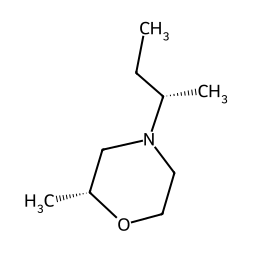 CC[C@H](C)N1CCO[C@H](C)C1